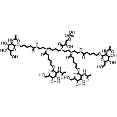 CC(=O)NC1[C@H](OCCCCC(=O)NCCN(CCCCN(CCN(CCNC(=O)CCCCO[C@@H]2OC(CO)[C@H](O)[C@H](O)C2NC(C)=O)C(=O)CCCCO[C@@H]2OC(CO)[C@H](O)[C@H](O)C2NC(C)=O)C(=O)C(O)COP(C)(=O)O)C(=O)CCCCO[C@@H]2OC(CO)[C@H](O)[C@H](O)C2NC(C)=O)OC(CO)[C@H](O)[C@@H]1O